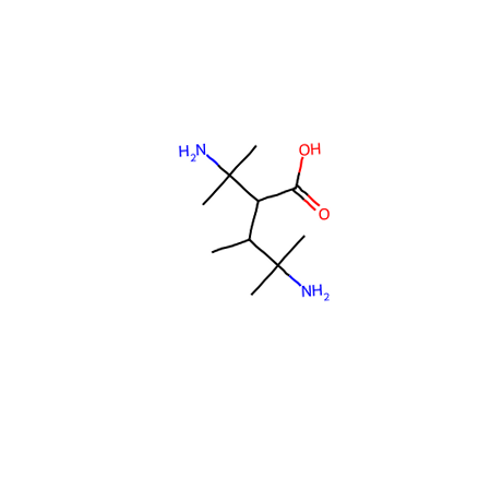 CC(C(C(=O)O)C(C)(C)N)C(C)(C)N